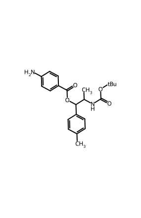 Cc1ccc(C(OC(=O)c2ccc(N)cc2)C(C)NC(=O)OC(C)(C)C)cc1